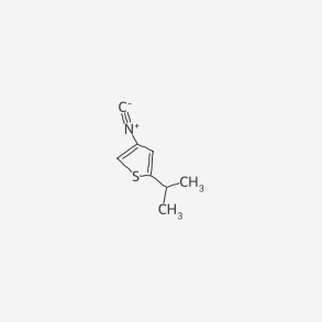 [C-]#[N+]c1csc(C(C)C)c1